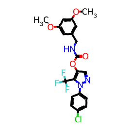 COc1cc(CNC(=O)Oc2cnn(-c3ccc(Cl)cc3)c2C(F)(F)F)cc(OC)c1